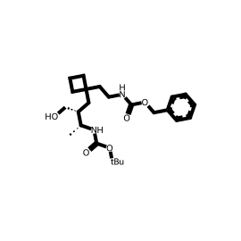 C[C@@H](NC(=O)OC(C)(C)C)[C@H](CO)CC1(CCNC(=O)OCc2ccccc2)CCC1